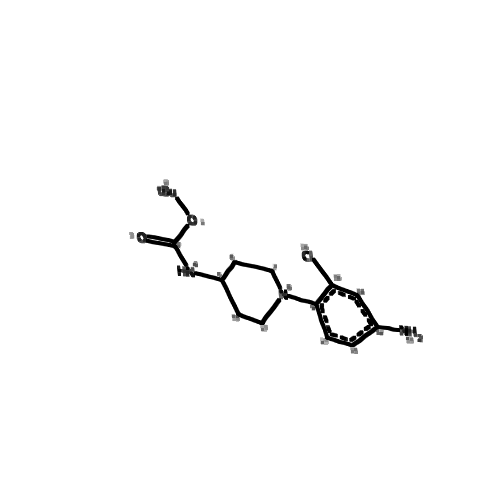 CC(C)(C)OC(=O)NC1CCN(c2ccc(N)cc2Cl)CC1